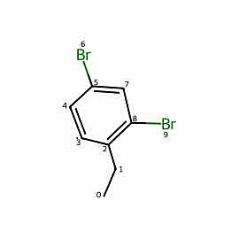 CCc1[c]cc(Br)cc1Br